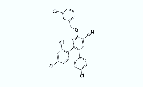 N#Cc1cc(-c2ccc(Cl)cc2)c(-c2ccc(Cl)cc2Cl)nc1OCc1cccc(Cl)c1